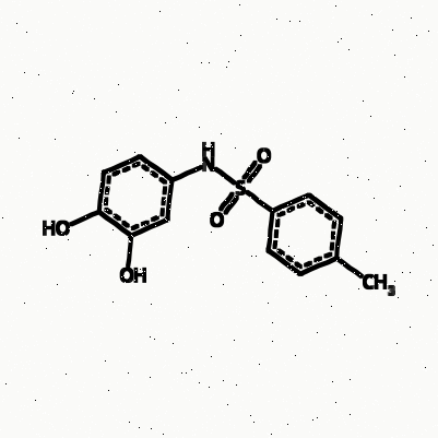 Cc1ccc(S(=O)(=O)Nc2ccc(O)c(O)c2)cc1